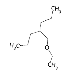 CCCC(CCC)COCC